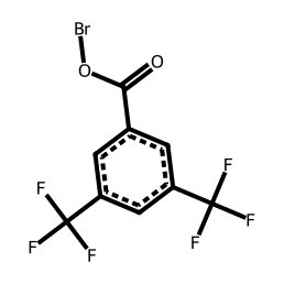 O=C(OBr)c1cc(C(F)(F)F)cc(C(F)(F)F)c1